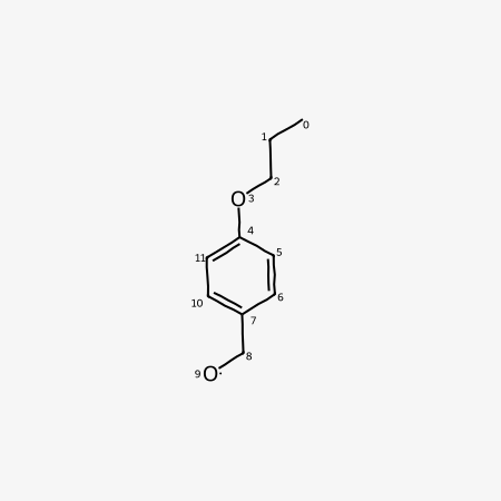 CCCOc1ccc(C[O])cc1